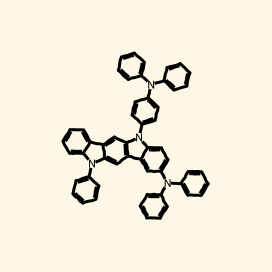 c1ccc(N(c2ccccc2)c2ccc(-n3c4ccc(N(c5ccccc5)c5ccccc5)cc4c4cc5c(cc43)c3ccccc3n5-c3ccccc3)cc2)cc1